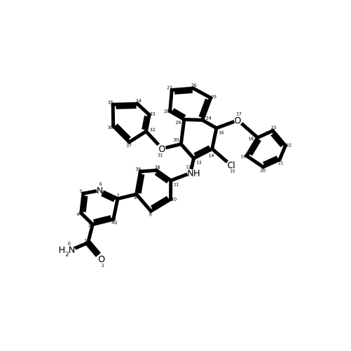 NC(=O)c1ccnc(-c2ccc(NC3=C(Cl)C(Oc4ccccc4)c4ccccc4C3Oc3ccccc3)cc2)c1